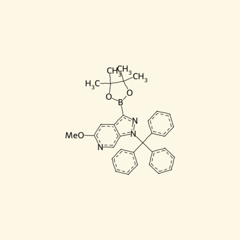 COc1cc2c(B3OC(C)(C)C(C)(C)O3)nn(C(c3ccccc3)(c3ccccc3)c3ccccc3)c2cn1